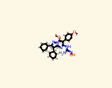 COc1ccc(-c2c(N/C(N)=N/O)nc3c(-c4ccccc4)c(-c4ccccc4)nn3c2OC)cc1